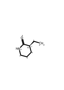 CC[C@H]1CCCNC1=O